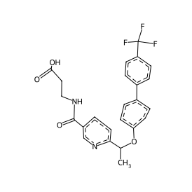 CC(Oc1ccc(-c2ccc(C(F)(F)F)cc2)cc1)c1ccc(C(=O)NCCC(=O)O)cn1